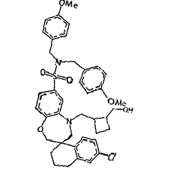 COc1ccc(CN(Cc2ccc(OC)cc2)S(=O)(=O)c2ccc3c(c2)N(CC2CCC2CO)C[C@@]2(CCCc4cc(Cl)ccc42)CO3)cc1